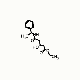 CCOC(=O)C[C@H](O)CC(=O)NC(C)c1ccccc1